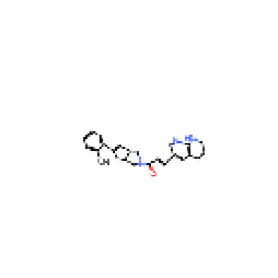 N#Cc1ccccc1C1=CC2CN(C(=O)/C=C/c3cnc4c(c3)CCCN4)CC2C1